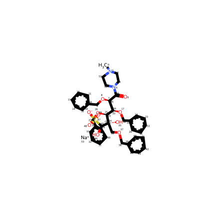 CN1CCN(C(=O)[C@H](OCc2ccccc2)[C@@H](OCc2ccccc2)[C@H](OCc2ccccc2)[C@@](O)(COCc2ccccc2)C(O)S(=O)(=O)[O-])CC1.[Na+]